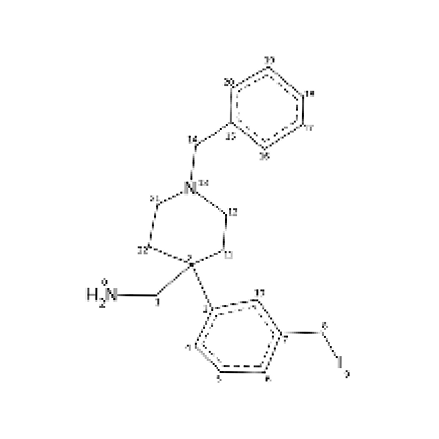 NCC1(c2cccc(CI)c2)CCN(Cc2ccccc2)CC1